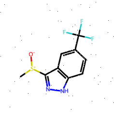 C[S+]([O-])c1n[nH]c2ccc(C(F)(F)F)cc12